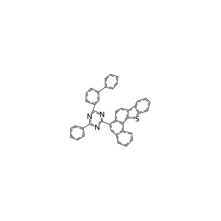 c1ccc(-c2cccc(-c3nc(-c4ccccc4)nc(-c4cc5ccccc5c5c4ccc4c6ccccc6sc45)n3)c2)cc1